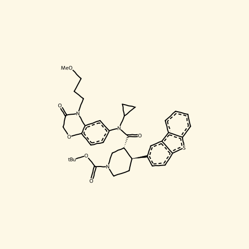 COCCCN1C(=O)COc2ccc(N(C(=O)[C@H]3CN(C(=O)OC(C)(C)C)CC[C@@H]3c3ccc4sc5ccccc5c4c3)C3CC3)cc21